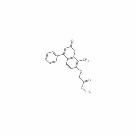 COC(=O)COc1ccc2c(-c3ccccc3)cc(=O)oc2c1C